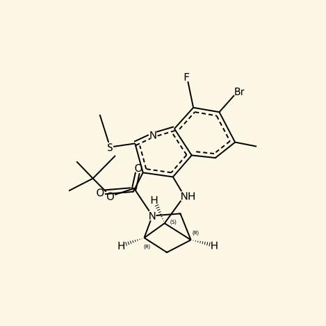 CSc1nc2c(F)c(Br)c(C)cc2c(N[C@H]2[C@@H]3C[C@H]2N(C(=O)OC(C)(C)C)C3)c1C=O